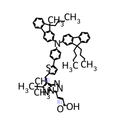 CCCCC1(C)c2ccccc2-c2ccc(N(c3ccc(-c4ccc(/C=c5/c(C(C)(C)C)nn6c(/C=C/C(=O)O)nnc56)s4)cc3)c3ccc4c(c3)C(CCCC)(CCCC)c3ccccc3-4)cc21